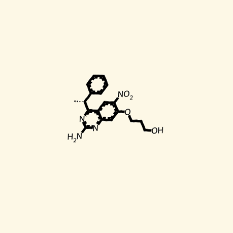 C[C@H](c1ccccc1)c1nc(N)nc2cc(OCCCO)c([N+](=O)[O-])cc12